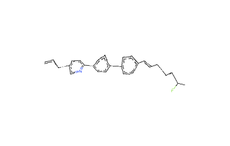 C=CCc1ccc(-c2ccc(-c3ccc(C=CCCCC(C)F)cc3)cc2)nc1